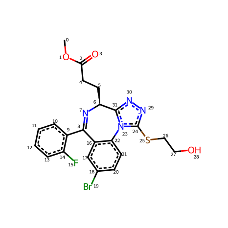 COC(=O)CC[C@@H]1N=C(c2ccccc2F)c2cc(Br)ccc2-n2c(SCCO)nnc21